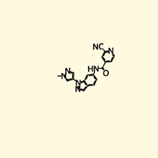 Cn1cc(-n2ncc3ccc(NC(=O)c4ccnc(C#N)c4)cc32)cn1